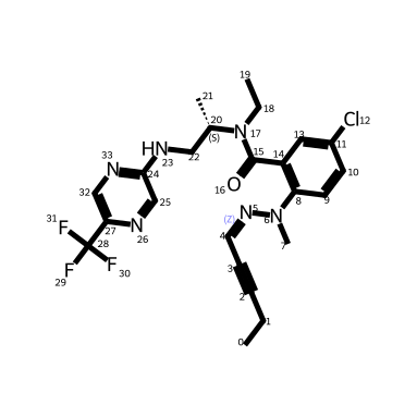 CCC#C/C=N\N(C)c1ccc(Cl)cc1C(=O)N(CC)[C@@H](C)CNc1cnc(C(F)(F)F)cn1